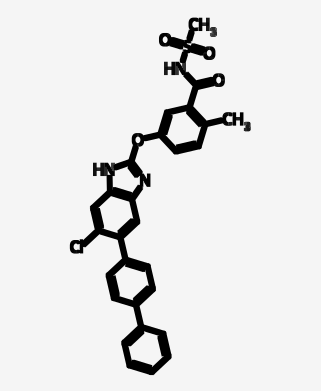 Cc1ccc(Oc2nc3cc(-c4ccc(-c5ccccc5)cc4)c(Cl)cc3[nH]2)cc1C(=O)NS(C)(=O)=O